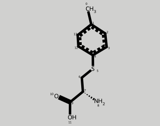 Cc1ccc(SC[C@H](N)C(=O)O)cc1